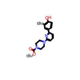 CC(C)(C)OC(=O)N1CCN(c2cccc(-c3ccc(O)c(C(C)(C)C)c3)n2)CC1